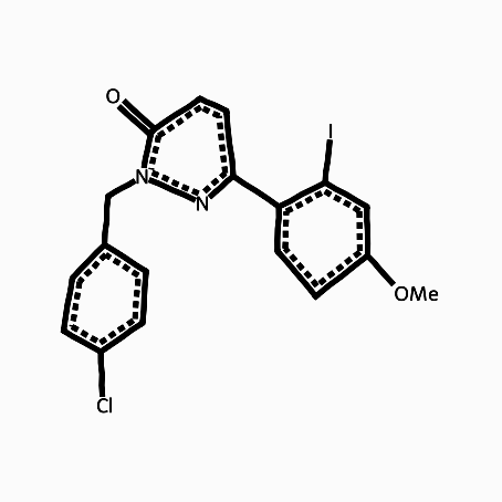 COc1ccc(-c2ccc(=O)n(Cc3ccc(Cl)cc3)n2)c(I)c1